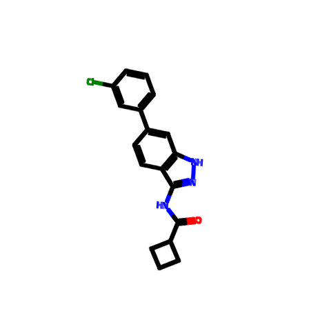 O=C(Nc1n[nH]c2cc(-c3cccc(Cl)c3)ccc12)C1CCC1